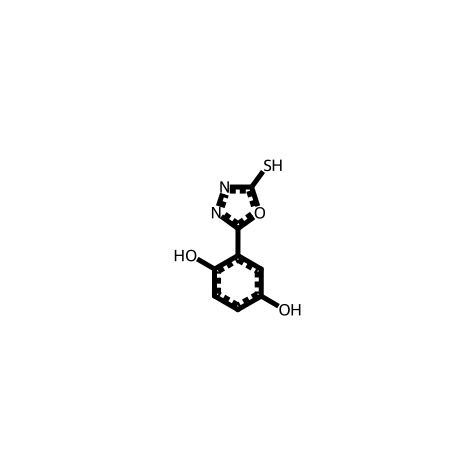 Oc1ccc(O)c(-c2nnc(S)o2)c1